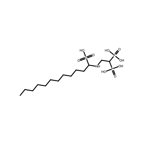 CCCCCCCCCCCC(NCC(P(=O)(O)O)P(=O)(O)O)S(=O)(=O)O